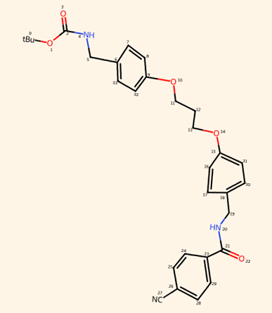 CC(C)(C)OC(=O)NCc1ccc(OCCCOc2ccc(CNC(=O)c3ccc(C#N)cc3)cc2)cc1